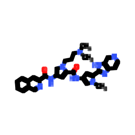 CN(C)CCCn1cc(NC(=O)c2cc3ccccc3cn2)cc1C(=O)Nc1cc(-c2nc3ccncc3[nH]2)n(C)c1